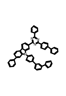 c1ccc(-c2ccc(-c3nc(-c4ccccc4)nc(-c4ccc5c6ccc(-c7ccccc7)cc6n(-c6ccc(-c7cccc(-c8ccccc8)c7)cc6)c5c4)n3)cc2)cc1